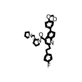 O=C(c1cc(CCc2ccc(F)cc2)nc2ccc(-c3ccc4c(c3)OCO4)cc12)N1CCC[C@H]1CN1CCCC1